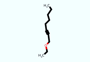 CCCCCC#CCOCC